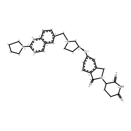 O=C1CCC(N2Cc3cc(O[C@H]4CCN(Cc5ccc6nc(N7CCCC7)ncc6c5)C4)ccc3C2=O)C(=O)N1